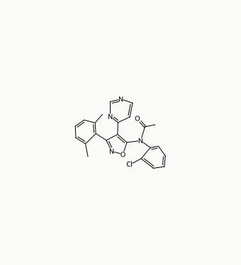 CC(=O)N(c1ccccc1Cl)c1onc(-c2c(C)cccc2C)c1-c1ccncn1